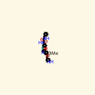 COc1cc2c(Oc3ccc(NC(=O)C(=O)NCc4ccccc4)cc3F)ccnc2cc1OCC1CCNCC1